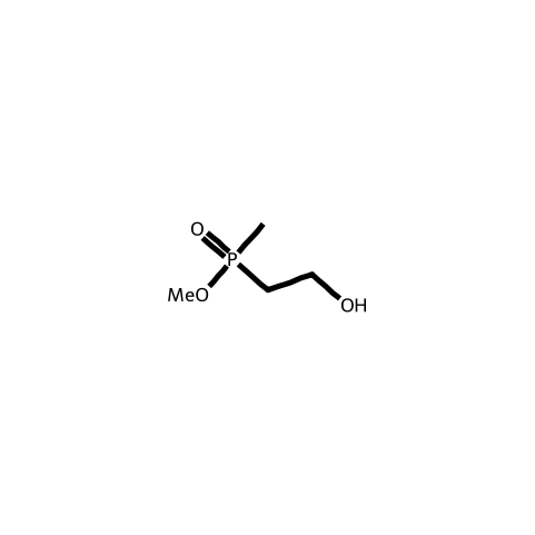 COP(C)(=O)CCO